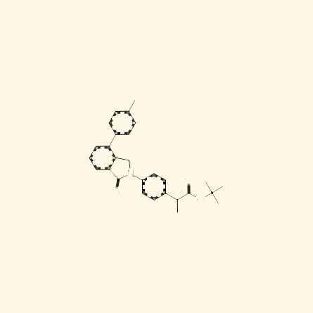 Cc1ccc(-c2cccc3c2CN(c2ccc(C(C)C(=O)OC(C)(C)C)cc2)C3=O)cc1